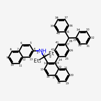 CCC(CC)(Nc1ccc2ccccc2c1)c1ccc2ccccc2c1-c1ccc(C(c2ccccc2)c2ccccc2)cc1